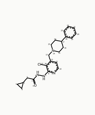 O=C(CC1CC1)NNc1nccc(CN2CCC(c3ccccc3)CC2)c1Cl